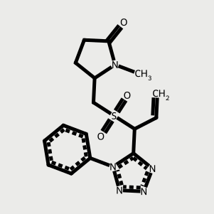 C=CC(c1nnnn1-c1ccccc1)S(=O)(=O)CC1CCC(=O)N1C